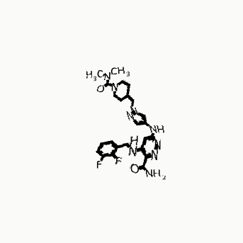 CN(C)C(=O)N1CCC(Cn2cc(Nc3cc(NCc4cccc(F)c4F)c(C(N)=O)nn3)cn2)CC1